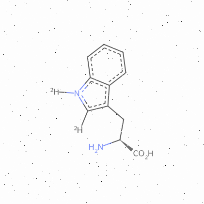 [2H]c1c(C[C@H](N)C(=O)O)c2ccccc2n1[2H]